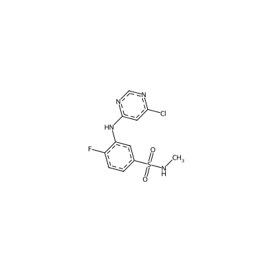 CNS(=O)(=O)c1ccc(F)c(Nc2cc(Cl)ncn2)c1